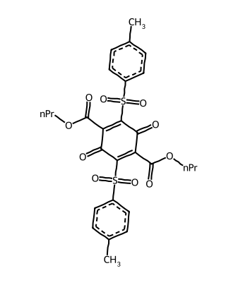 CCCOC(=O)C1=C(S(=O)(=O)c2ccc(C)cc2)C(=O)C(C(=O)OCCC)=C(S(=O)(=O)c2ccc(C)cc2)C1=O